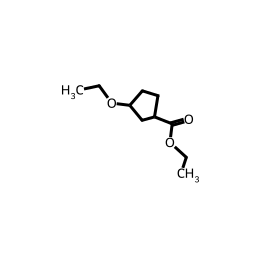 CCOC(=O)C1CCC(OCC)C1